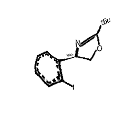 CC(C)(C)C1=N[C@H](c2ccccc2I)CO1